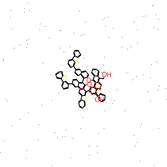 OCc1cc(-c2cccc3c2sc2ccccc23)c(Oc2ccc3cc(-c4cccc5c4sc4ccccc45)ccc3c2-c2c(Oc3c(-c4cccc5c4sc4ccccc45)cc(CO)c4ccccc34)ccc3cc(-c4cccc5c4sc4ccccc45)ccc23)c2ccccc12